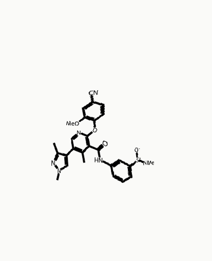 CN[S+]([O-])c1cccc(NC(=O)c2c(Oc3ccc(C#N)cc3OC)ncc(-c3cn(C)nc3C)c2C)c1